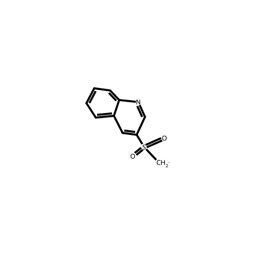 [CH2]S(=O)(=O)c1cnc2ccccc2c1